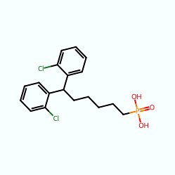 O=P(O)(O)CCCCCC(c1ccccc1Cl)c1ccccc1Cl